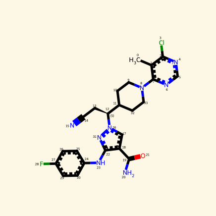 Cc1c(Cl)ncnc1N1CCC([C@H](CC#N)n2cc(C(N)=O)c(Nc3ccc(F)cc3)n2)CC1